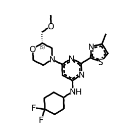 COC[C@@H]1CN(c2cc(NC3CCC(F)(F)CC3)nc(-c3nc(C)cs3)n2)CCO1